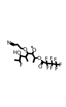 COC(C(C)OC(=O)C(F)(F)C(F)(F)C(F)(F)F)C(OCCC#N)C(C)C(O)C(C)F